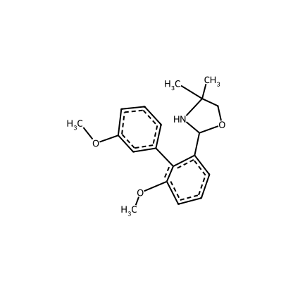 COc1cccc(-c2c(OC)cccc2C2NC(C)(C)CO2)c1